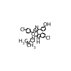 CN(C)[C@H]1CCN(C(=O)c2[nH]c3cc(Cl)ccc3c2-c2c(-c3cccc(O)c3)ncn2Cc2ccc(Cl)cc2)C1